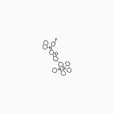 Fc1ccc(N(c2ccc3c(c2)oc2cc(-c4ccc5c(c4)N(c4ccccc4)c4ccccc4[Si]5(c4ccccc4)c4ccccc4)ccc23)c2cccc3ccccc23)cc1